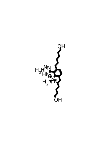 N=C(/N=N\N)c1c(CCCCCCO)ccc(CCCCCCO)c1S(N)(=O)=O